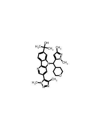 Cc1cc(C(C2CCOCC2)n2c3cc(C(C)(C)O)ccc3c3ncc(-c4c(C)nnn4C)cc32)n(C)n1